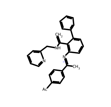 C=C(NCc1ccccn1)c1c(/N=C(\C)c2ccc(C(C)=O)cc2)cccc1-c1ccccc1